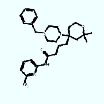 CC1(C)CC(CCCC(=O)Nc2cccc(C(F)(F)F)n2)(N2CCN(Cc3ccccc3)CC2)CCO1